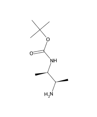 C[C@@H](N)[C@@H](C)NC(=O)OC(C)(C)C